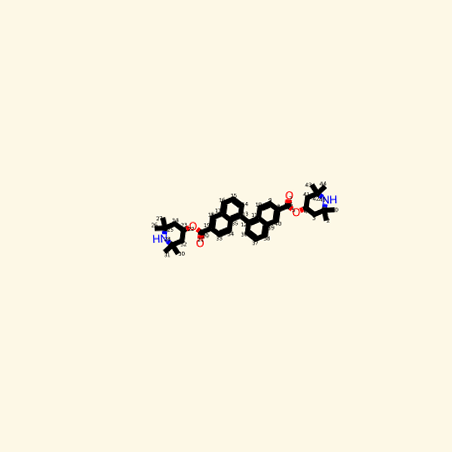 CC1(C)CC(OC(=O)c2ccc3c(-c4cccc5cc(C(=O)OC6CC(C)(C)NC(C)(C)C6)ccc45)cccc3c2)CC(C)(C)N1